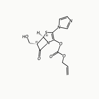 C=CCOC(=O)OC1=C(n2ccnc2)S[C@@H]2[C@@H](CO)C(=O)N12